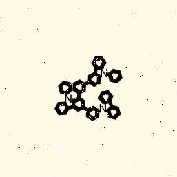 c1ccc(-n2c3ccccc3c3cc(-c4cccc(-c5cc(-c6cccc(-n7c8ccccc8c8ccccc87)c6)cc6c7ccccc7n(-c7ccccc7)c56)c4)ccc32)cc1